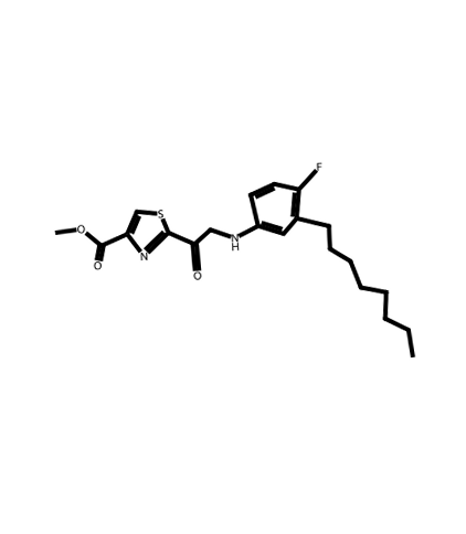 CCCCCCCCc1cc(NCC(=O)c2nc(C(=O)OC)cs2)ccc1F